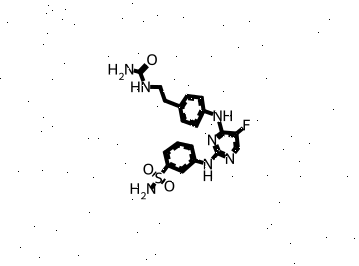 NC(=O)NCCc1ccc(Nc2nc(Nc3cccc(S(N)(=O)=O)c3)ncc2F)cc1